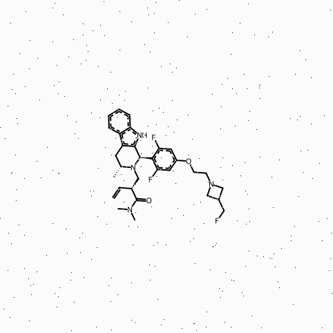 C=C[C@@H](CN1[C@H](c2c(F)cc(OCCN3CC(CF)C3)cc2F)c2[nH]c3ccccc3c2C[C@H]1C)C(=O)N(C)C